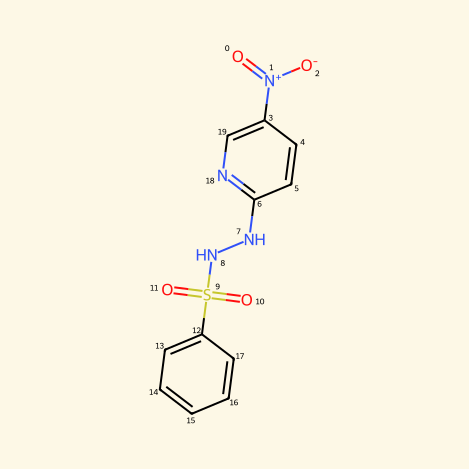 O=[N+]([O-])c1ccc(NNS(=O)(=O)c2ccccc2)nc1